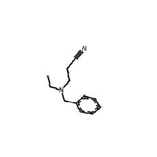 CCN(CCC#N)Cc1ccccc1